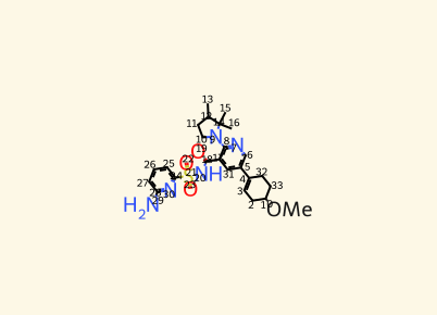 COC1CC=C(c2cnc(N3CCC(C)C3(C)C)c(C(=O)NS(=O)(=O)c3cccc(N)n3)c2)CC1